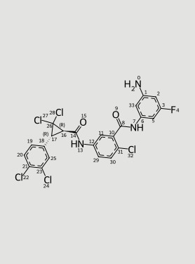 Nc1cc(F)cc(NC(=O)c2cc(NC(=O)[C@H]3[C@H](c4ccc(Cl)c(Cl)c4)C3(Cl)Cl)ccc2Cl)c1